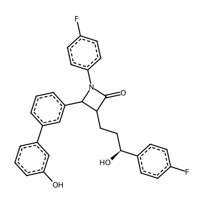 O=C1C(CC[C@H](O)c2ccc(F)cc2)C(c2cccc(-c3cccc(O)c3)c2)N1c1ccc(F)cc1